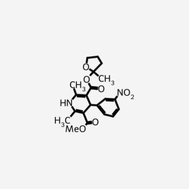 COC(=O)C1=C(C)NC(C)=C(C(=O)OC2(C)CCCO2)C1c1cccc([N+](=O)[O-])c1